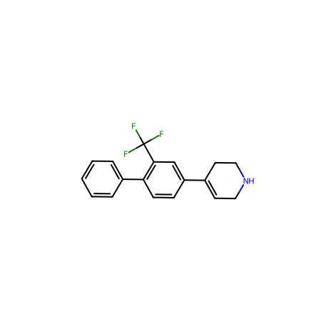 FC(F)(F)c1cc(C2=CCNCC2)ccc1-c1ccccc1